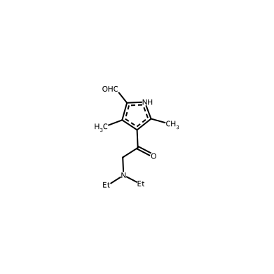 CCN(CC)CC(=O)c1c(C)[nH]c(C=O)c1C